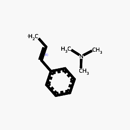 CN(C)C.[CH2]/C=C/c1ccccc1